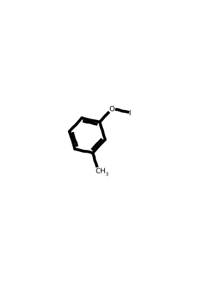 Cc1cccc(OI)c1